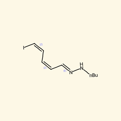 CCCCN/N=C/C=C\C=C/I